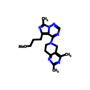 COCCCc1nc(C)n2ncnc(N3CCc4nc(C)nc(C)c4C3)c12